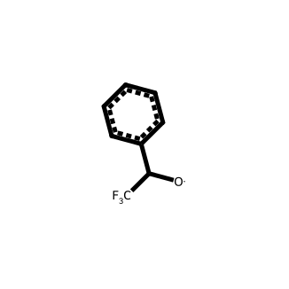 [O]C(c1ccccc1)C(F)(F)F